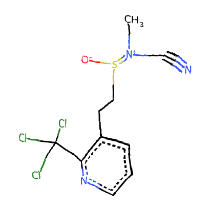 C[N+](C#N)=S([O-])CCc1cccnc1C(Cl)(Cl)Cl